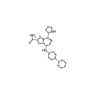 NC(=O)c1cc2c(Nc3ccc(-c4ccccc4)cc3)cnc(-c3ccc[nH]3)c2s1